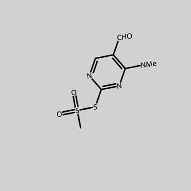 CNc1nc(SS(C)(=O)=O)ncc1C=O